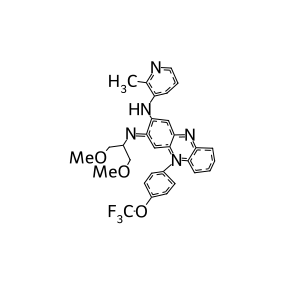 COCC(COC)/N=c1\cc2n(-c3ccc(OC(F)(F)F)cc3)c3ccccc3nc-2cc1Nc1cccnc1C